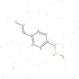 CC=Cc1ccc(CSC)cc1